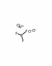 FB(F)F.[Al+3].[Cl-].[Cl-].[Cl-]